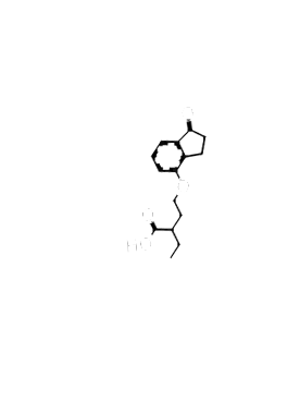 CCC(CCOc1cccc2c1CCC2=O)C(=O)O